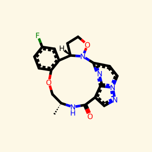 C[C@@H]1COc2ccc(F)cc2[C@@H]2CCON2c2ccn3ncc(c3n2)C(=O)N1